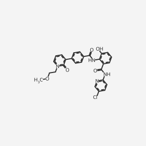 COCCn1cccc(-c2ccc(C(=O)Nc3c(O)cccc3C(=O)Nc3ccc(Cl)cn3)cc2)c1=O